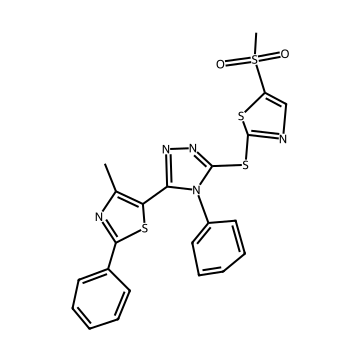 Cc1nc(-c2ccccc2)sc1-c1nnc(Sc2ncc(S(C)(=O)=O)s2)n1-c1ccccc1